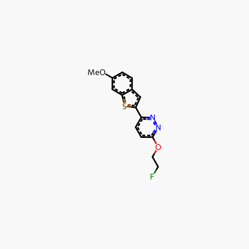 COc1ccc2cc(-c3ccc(OCCF)nn3)sc2c1